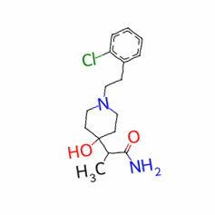 CC(C(N)=O)C1(O)CCN(CCc2ccccc2Cl)CC1